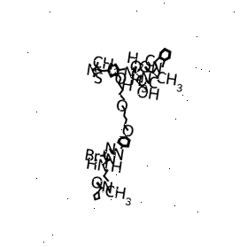 C=C1c2ccccc2CN1[C@H](C(=O)N1C[C@H](O)C[C@H]1C(=O)NCc1ccc(-c2scnc2C)cc1OCCCCOCCCCOc1ccc(Nc2ncc(Br)c(NCCCN(C)C(=O)C3CCC3)n2)cc1)C(C)C